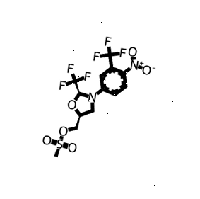 CS(=O)(=O)OC[C@@H]1CN(c2ccc([N+](=O)[O-])c(C(F)(F)F)c2)[C@H](C(F)(F)F)O1